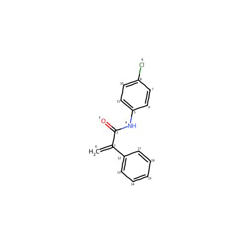 C=C(C(=O)Nc1ccc(Cl)cc1)c1ccccc1